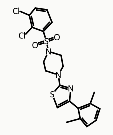 Cc1cccc(C)c1-c1csc(N2CCN(S(=O)(=O)c3cccc(Cl)c3Cl)CC2)n1